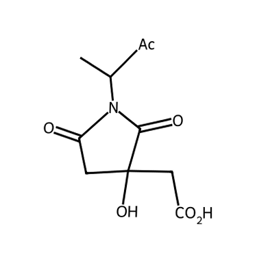 CC(=O)C(C)N1C(=O)CC(O)(CC(=O)O)C1=O